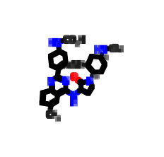 CC(=O)N[C@@H]1C[C@H](NC(C)(C)C)CC[C@@H]1N1CCC(Nc2nc(C3=CCC(NC(=O)O)CC3)nc3ccc(C(F)(F)F)cc23)C1=O